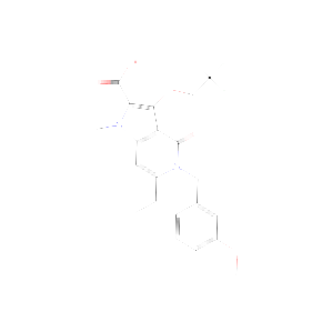 CCc1cc2c(c(OCC(F)(F)F)c(C(=O)O)n2C)c(=O)n1Cc1cccc(OC)c1